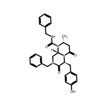 C[C@@H]1CC(=O)N2[C@H](CN(Cc3ccccc3)C(=O)[C@@H]2Cc2ccc(O)cc2)N1C(=O)NCc1ccccc1